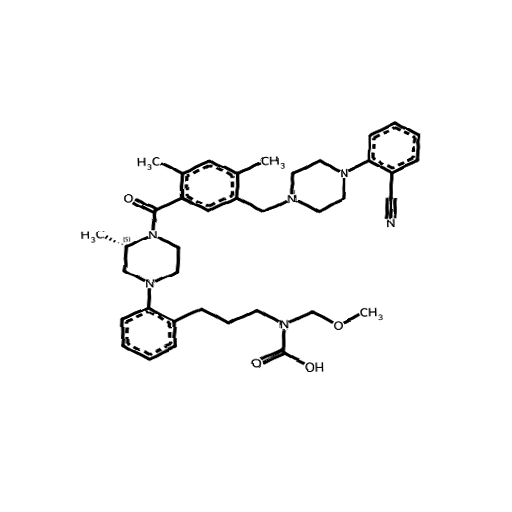 COCN(CCCc1ccccc1N1CCN(C(=O)c2cc(CN3CCN(c4ccccc4C#N)CC3)c(C)cc2C)[C@@H](C)C1)C(=O)O